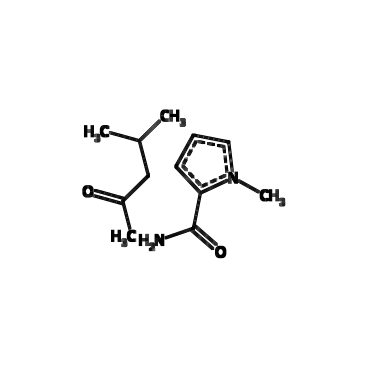 CC(=O)CC(C)C.Cn1cccc1C(N)=O